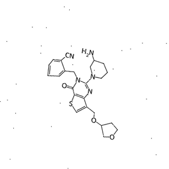 N#Cc1ccccc1Cn1c(N2CCCC(N)C2)nc2c(COC3CCOC3)csc2c1=O